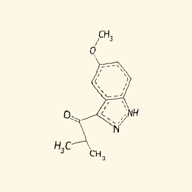 COc1ccc2[nH]nc(C(=O)C(C)C)c2c1